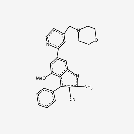 COc1cc(-c2cc(CN3CCOCC3)ccn2)cc2nc(N)c(C#N)c(-c3ccccc3)c12